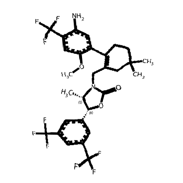 COc1cc(C(F)(F)F)c(N)cc1C1=C(CN2C(=O)O[C@H](c3cc(C(F)(F)F)cc(C(F)(F)F)c3)[C@@H]2C)CC(C)(C)CC1